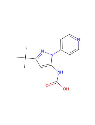 CC(C)(C)c1cc(NC(=O)O)n(-c2ccncc2)n1